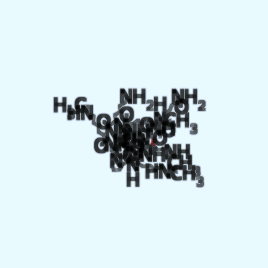 CCNCCCCC(NCC)C(=O)NC(CCCCN)C(=O)NC(CCCCNCC)C(=O)NCC(=O)N1CCCC1C(=O)NC(CCCCNCC)C(=O)NC(CCOC=O)C(=O)NC(CCCCNCC)C(=O)NCCCCCC(N)=O